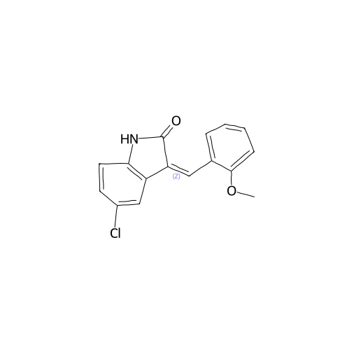 COc1ccccc1/C=C1\C(=O)Nc2ccc(Cl)cc21